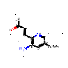 CCC(=O)/C=C/c1ncc(OC)cc1N